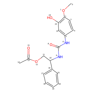 COc1ccc(NC(=O)NC(COC(C)=O)c2ccccc2)cc1O